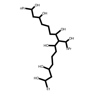 CCCC(O)CC(O)CCCC(O)C(C(O)CCC)C(O)CCCC(O)CC(O)CC